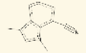 Cc1cn(C)c2c(C#N)cccc12